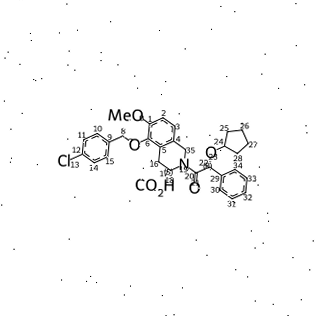 COc1ccc2c(c1OCc1ccc(Cl)cc1)C[C@@H](C(=O)O)N(C(=O)[C@H](OC1CCCC1)c1ccccc1)C2